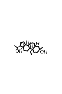 CC[C@]12CCC(C)(O)C[C@@H]1CC[C@H]1[C@@H]3CC[C@H](C(C)O)[C@@]3(C)CC[C@@H]12